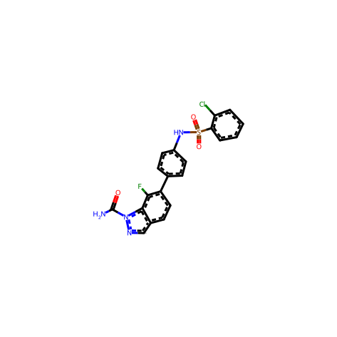 NC(=O)n1n[c]c2ccc(-c3ccc(NS(=O)(=O)c4ccccc4Cl)cc3)c(F)c21